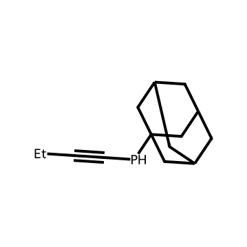 CCC#CPC12CC3CC(CC(C3)C1)C2